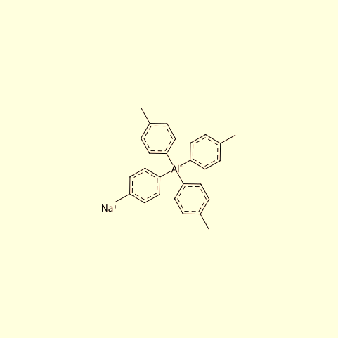 Cc1cc[c]([Al-]([c]2ccc(C)cc2)([c]2ccc(C)cc2)[c]2ccc(C)cc2)cc1.[Na+]